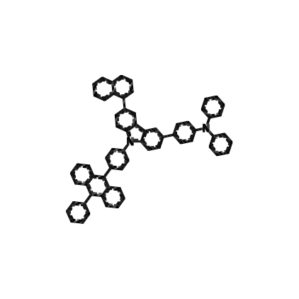 c1ccc(-c2c3ccccc3c(-c3ccc(-n4c5ccc(-c6ccc(N(c7ccccc7)c7ccccc7)cc6)cc5c5cc(-c6cccc7ccccc67)ccc54)cc3)c3ccccc23)cc1